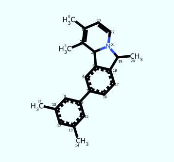 CC1=C(C)C2c3cc(-c4cc(C)cc(C)c4)ccc3C(C)N2C=C1